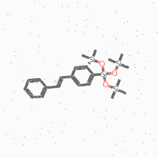 C[Si](C)(C)O[Si](O[Si](C)(C)C)(O[Si](C)(C)C)c1ccc(/C=C/c2ccccc2)cc1